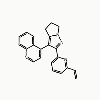 C=Cc1cccc(-c2nn3c(c2-c2ccnc4ccccc24)CCC3)n1